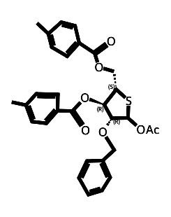 CC(=O)OC1S[C@@H](COC(=O)c2ccc(C)cc2)[C@H](OC(=O)c2ccc(C)cc2)[C@H]1OCc1ccccc1